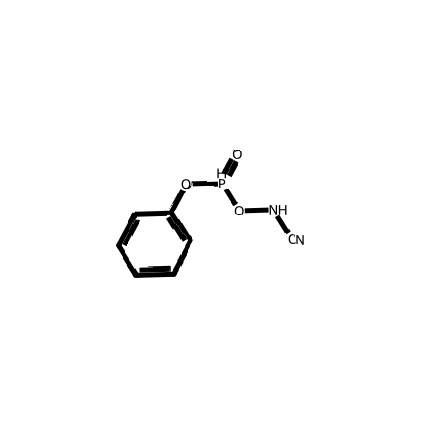 N#CNO[PH](=O)Oc1ccccc1